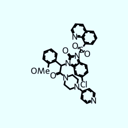 COc1ccccc1C(C(=O)N1CCN(c2ccncc2)CC1)n1c(=O)n(S(=O)(=O)c2cccc3cccnc23)c2ccc(Cl)cc21